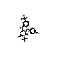 CC(C)(C)N1C(=O)N=C(Nc2cccc(C(F)(F)F)c2)N(Cc2ccc(Cl)cc2)C1O